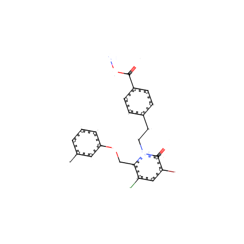 CCc1cccc(OCc2c(Cl)cc(Br)c(=O)n2CCc2ccc(C(=O)ON)cc2)c1